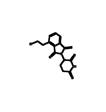 O=C1CCN(N2C(=O)c3cccc(CCCl)c3C2=O)C(=O)N1